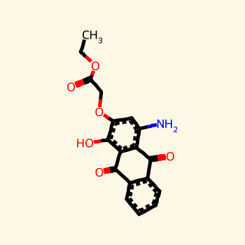 CCOC(=O)COc1cc(N)c2c(c1O)C(=O)c1ccccc1C2=O